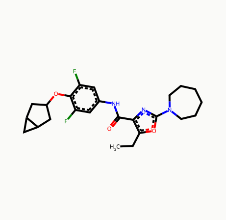 CCc1oc(N2CCCCCC2)nc1C(=O)Nc1cc(F)c(OC2CC3CC3C2)c(F)c1